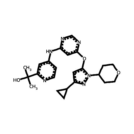 CC(C)(O)c1cc(Nc2cc(Oc3cc(C4CC4)nn3C3CCOCC3)ncn2)ccn1